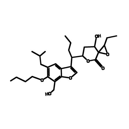 CCCCOc1c(CC(C)C)cc2c(C(CCC)C3CC(O)C4(OC4CC)C(=O)O3)coc2c1CO